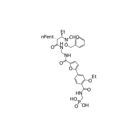 CCCCC[C@@H](C(=O)NCNC(=O)c1ccc(-c2ccc(C(=O)NCP(=O)(O)O)c(OCC)c2)o1)[C@@H](CC)N(C=O)OCc1ccccc1